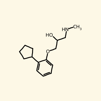 CNCC(O)COc1ccccc1C1CCCC1